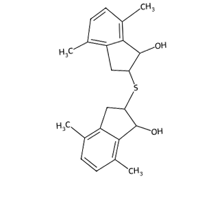 Cc1ccc(C)c2c1CC(SC1Cc3c(C)ccc(C)c3C1O)C2O